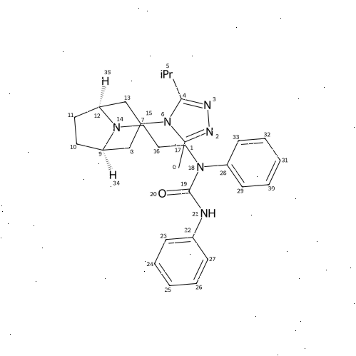 Cc1nnc(C(C)C)n1C1C[C@H]2CC[C@@H](C1)N2CCCN(C(=O)Nc1ccccc1)c1ccccc1